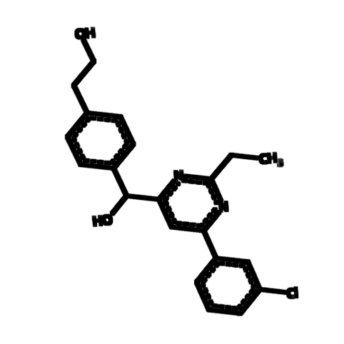 CCc1nc(-c2cccc(Cl)c2)cc(C(O)c2ccc(CCO)cc2)n1